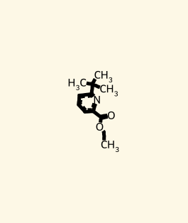 CCOC(=O)c1cccc(C(C)(C)C)n1